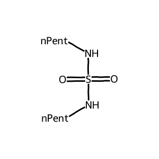 CCCCCNS(=O)(=O)NCCCCC